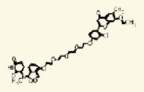 CCOc1cc2oc(-c3ccc(OCCOCCOCCOCCOc4cccc(C(=O)N(C)C5CCC(=O)NC5=O)c4C=O)cc3Cl)cc(=O)c2cc1C